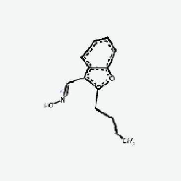 CCCCc1oc2ccccc2c1/C=N/O